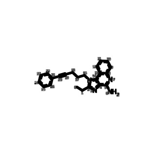 CCc1nc2c(N)nc3ccccc3c2n1CCCC#Cc1ccccc1